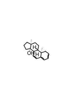 C[C@@]12CCC[C@]1(O)[C@@H]1C=CC3=CC=CC[C@]3(C)[C@H]1CC2